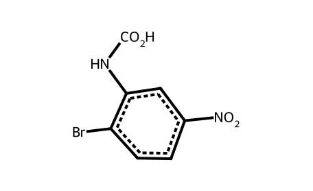 O=C(O)Nc1cc([N+](=O)[O-])ccc1Br